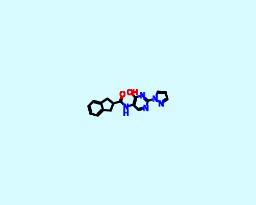 O=C(Nc1cnc(-n2cccn2)nc1O)C1Cc2ccccc2C1